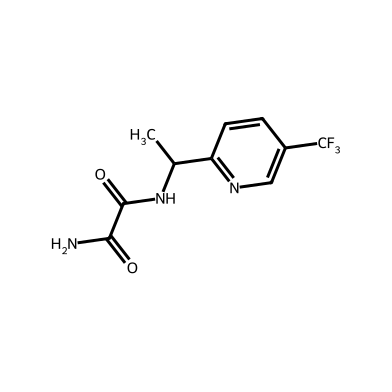 CC(NC(=O)C(N)=O)c1ccc(C(F)(F)F)cn1